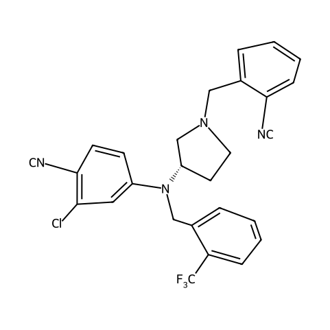 [C-]#[N+]c1ccc(N(Cc2ccccc2C(F)(F)F)[C@H]2CCN(Cc3ccccc3[N+]#[C-])C2)cc1Cl